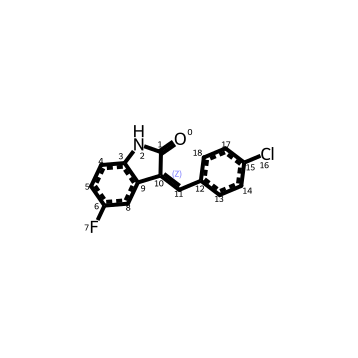 O=C1Nc2ccc(F)cc2/C1=C/c1ccc(Cl)cc1